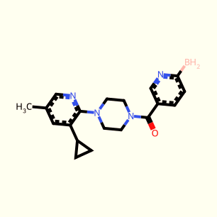 Bc1ccc(C(=O)N2CCN(c3ncc(C)cc3C3CC3)CC2)cn1